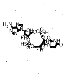 Nc1ncnc2c1ncn2[C@@H]1O[C@@H]2COP(=O)(S)O[C@@H]3[C@H](F)[C@@H](COP(=O)(S)O[C@H]2[C@H]1F)O[C@H]3n1ccc(=O)[nH]c1=O